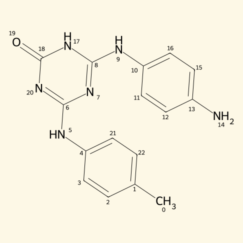 Cc1ccc(Nc2nc(Nc3ccc(N)cc3)[nH]c(=O)n2)cc1